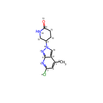 Cc1cc(Cl)nc2nn(C3CCC(=O)NC3)cc12